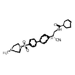 CN1CCN(S(=O)(=O)c2ccc(-c3ccc([C@@H](C#N)CNC(=O)C4CCCCC4)cc3)cc2)CC1